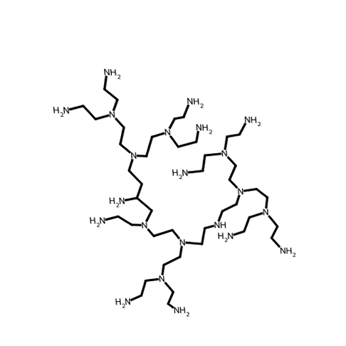 NCCN(CCN)CCN(CCNCCN(CCN(CCN)CCN)CCN(CCN)CC(N)CCN(CCN(CCN)CCN)CCN(CCN)CCN)CCN(CCN)CCN